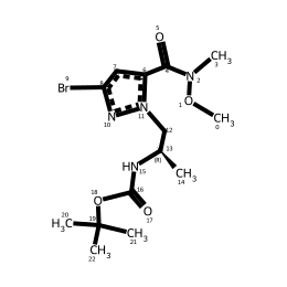 CON(C)C(=O)c1cc(Br)nn1C[C@@H](C)NC(=O)OC(C)(C)C